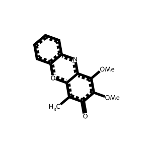 COc1c2nc3ccccc3oc-2c(C)c(=O)c1OC